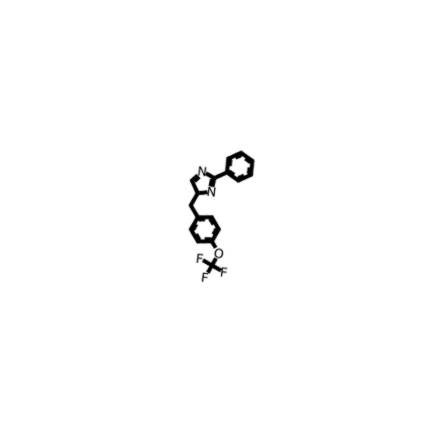 FC(F)(F)Oc1ccc(CC2C=NC(c3ccccc3)=N2)cc1